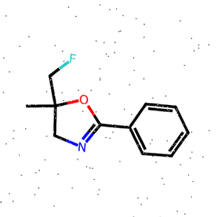 CC1(CF)CN=C(c2ccccc2)O1